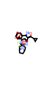 COC(=O)c1ccnc(N2C3CCC2CC(OCc2c(-c4ccccc4OC(F)(F)F)noc2C2CC2)C3)n1